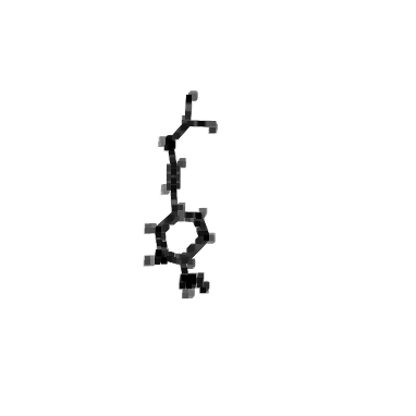 CC(C)SC#Cc1ccc(N)nc1